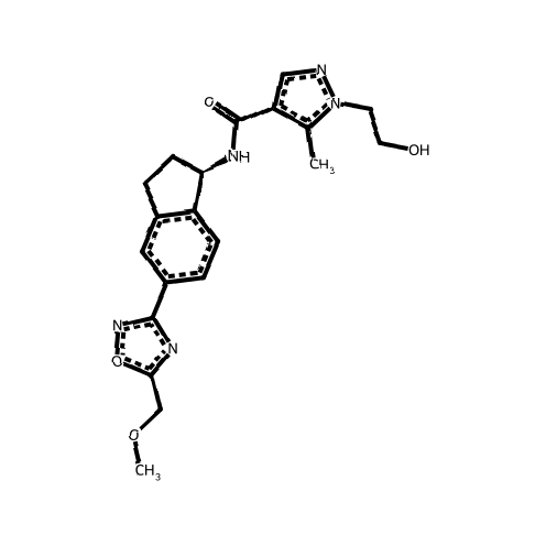 COCc1nc(-c2ccc3c(c2)CC[C@H]3NC(=O)c2cnn(CCO)c2C)no1